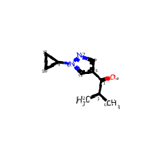 CC(C)C(=O)c1cnn(C2CC2)c1